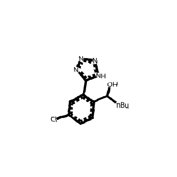 CCCCC(O)c1ccc(Cl)cc1-c1nnn[nH]1